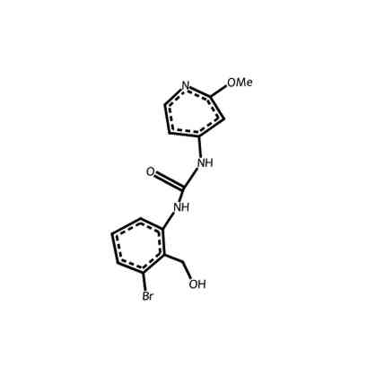 COc1cc(NC(=O)Nc2cccc(Br)c2CO)ccn1